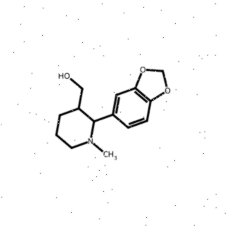 CN1CCCC(CO)C1c1ccc2c(c1)OCO2